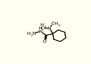 CN(C)C1(C(=O)NN)CCCCC1